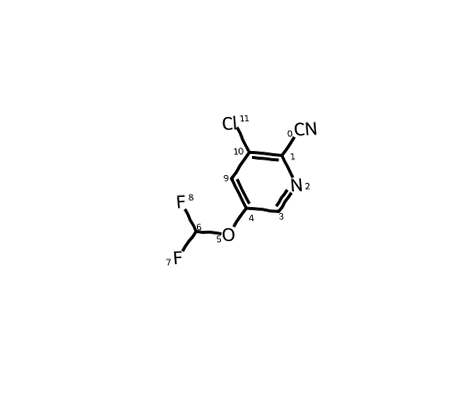 N#Cc1ncc(OC(F)F)cc1Cl